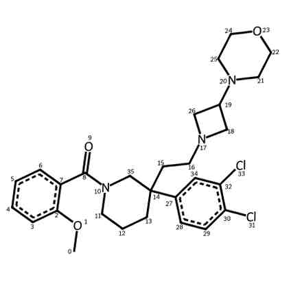 COc1ccccc1C(=O)N1CCCC(CCN2CC(N3CCOCC3)C2)(c2ccc(Cl)c(Cl)c2)C1